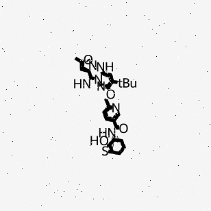 Cc1cc(C(=N)n2nc(OCc3ccc(C(=O)N[C@H]4CCCC5S[C@]54O)cn3)c(C(C)(C)C)cc2=N)no1